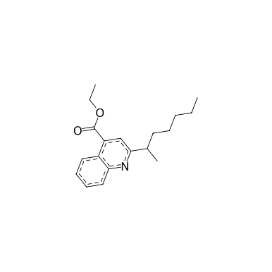 CCCCCC(C)c1cc(C(=O)OCC)c2ccccc2n1